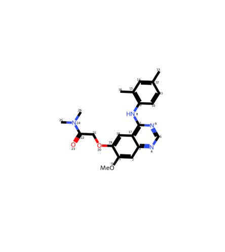 COc1cc2ncnc(Nc3ccc(C)cc3C)c2cc1OCC(=O)N(C)C